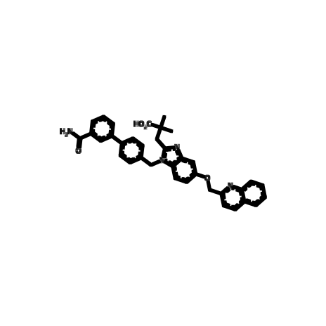 CC(C)(Cc1nc2cc(OCc3ccc4ccccc4n3)ccc2n1Cc1ccc(-c2cccc(C(N)=O)c2)cc1)C(=O)O